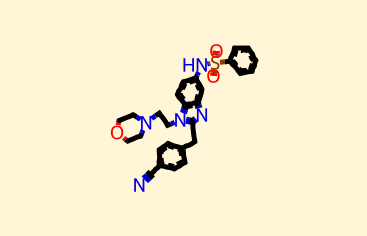 N#Cc1ccc(Cc2nc3cc(NS(=O)(=O)c4ccccc4)ccc3n2CCN2CCOCC2)cc1